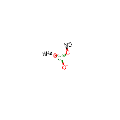 O=NO[Cl+2]([O-])[O-].[NaH]